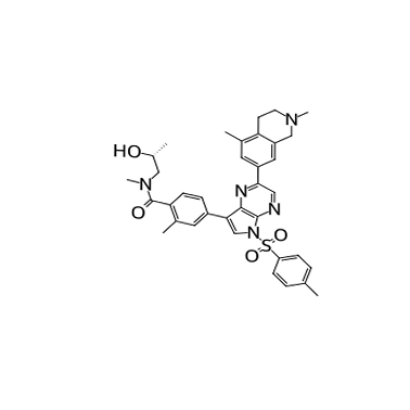 Cc1ccc(S(=O)(=O)n2cc(-c3ccc(C(=O)N(C)C[C@@H](C)O)c(C)c3)c3nc(-c4cc(C)c5c(c4)CN(C)CC5)cnc32)cc1